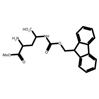 COC(=O)C(N)CC(NC(=O)OCC1c2ccccc2-c2ccccc21)C(=O)O